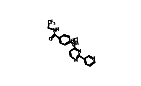 Cl.O=C(NCC(F)(F)F)c1ccc(Nc2ccnc(-c3cccnc3)n2)cc1